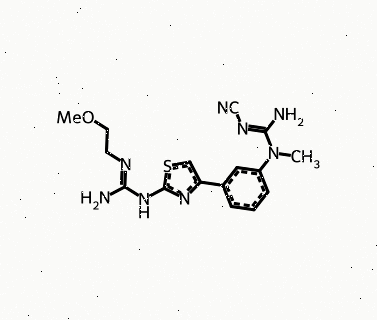 COCCN=C(N)Nc1nc(-c2cccc(N(C)C(N)=NC#N)c2)cs1